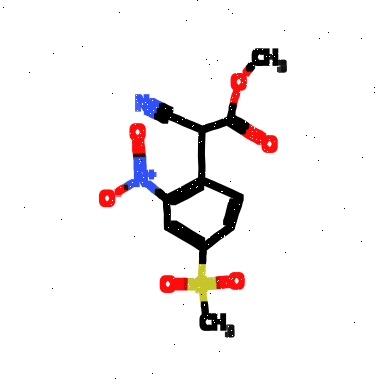 COC(=O)C(C#N)c1ccc(S(C)(=O)=O)cc1[N+](=O)[O-]